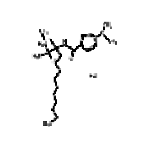 CCCCCCCCCCC(CCC)(NC(=O)c1ccc(N(C)C)cc1)C(C)(C)N.Cl